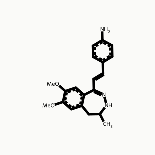 COc1cc2c(cc1OC)C(C=Cc1ccc(N)cc1)=NNC(C)C2